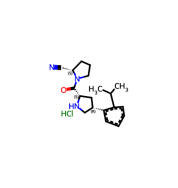 CC(C)c1ccccc1[C@@H]1CN[C@H](C(=O)N2CCC[C@H]2C#N)C1.Cl